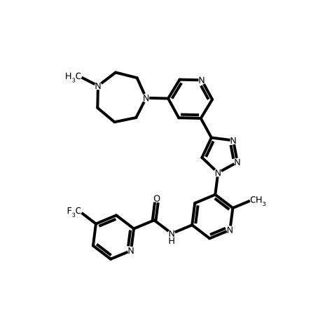 Cc1ncc(NC(=O)c2cc(C(F)(F)F)ccn2)cc1-n1cc(-c2cncc(N3CCCN(C)CC3)c2)nn1